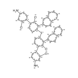 Nc1ccc(-c2ccc(Sc3ccc(-c4ccc(N)cc4Cl)c(Cl)c3-c3ccc4ccccc4c3)c(-c3ccc4ccccc4c3)c2Cl)c(Cl)c1